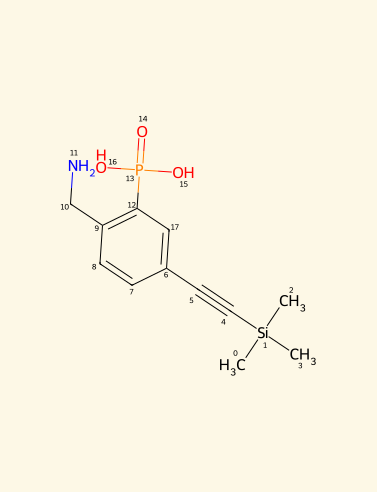 C[Si](C)(C)C#Cc1ccc(CN)c(P(=O)(O)O)c1